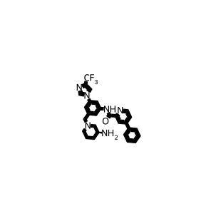 N[C@H]1CCCN(Cc2cc(NC(=O)c3cc(-c4ccccc4)ccn3)cc(-n3cnc(C(F)(F)F)c3)c2)C1